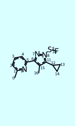 Cc1cccc(-c2nn(SF)c(C3CC3)c2C)n1